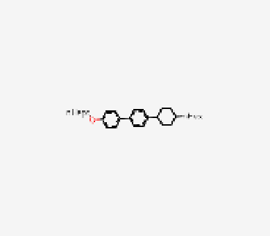 CCCCCCCOc1ccc(-c2ccc(C3CCC(CCCCCC)CC3)cc2)cc1